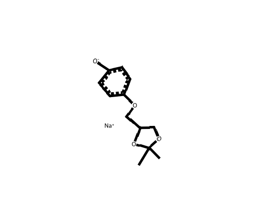 CC1(C)OCC(COc2ccc([O-])cc2)O1.[Na+]